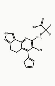 N#Cc1c(N)nc2c(c1-c1ccco1)CCc1c[nH]cc1-2.O=C(O)C(F)(F)F